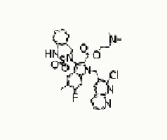 Cc1cc2c(N3Cc4ccccc4NS3(=O)=O)c(C(=O)OCCN(C)C)n(Cc3cc4cccnc4nc3Cl)c2cc1F